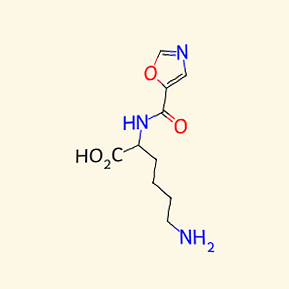 NCCCCC(NC(=O)c1cnco1)C(=O)O